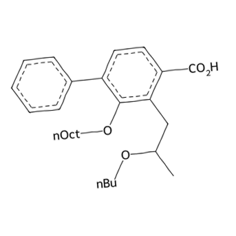 CCCCCCCCOc1c(-c2ccccc2)ccc(C(=O)O)c1CC(C)OCCCC